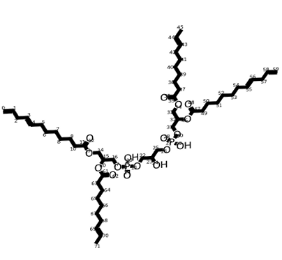 C=CCC=CCCCCCCC(=O)OCC(COP(=O)(O)OCC(O)COP(=O)(O)OCC(COC(=O)CCCCCCC=CC)OC(=O)CCCCCCC=CCC=C)OC(=O)CCCCCCC=CC